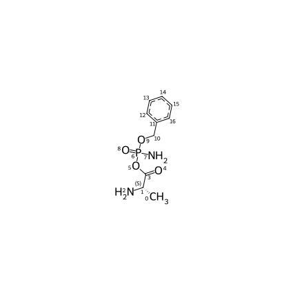 C[C@H](N)C(=O)OP(N)(=O)OCc1ccccc1